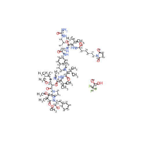 CC[C@H](C)[C@@H]([C@@H](CC(=O)N1CCC[C@H]1[C@H](OC)[C@@H](C)C(=O)N[C@@H](Cc1ccccc1)C(=O)OC)OC)N(C)C(=O)[C@@H](NC(=O)[C@H](C(C)C)N(C)CCc1ccc(NC(=O)[C@H](CCCNC(N)=O)NC(=O)[C@@H](NC(=O)CCCCCN2C(=O)C=CC2=O)C(C)C)cc1)C(C)C.O=C(O)C(F)(F)F